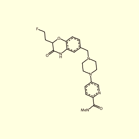 CNC(=O)c1ccc(N2CCN(Cc3ccc4c(c3)NC(=O)C(CCF)O4)CC2)cn1